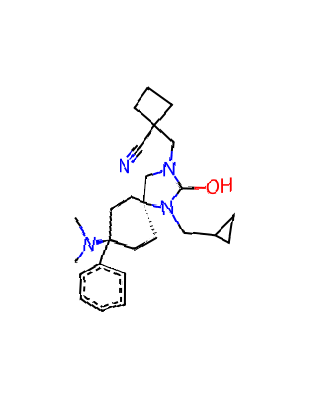 CN(C)[C@]1(c2ccccc2)CC[C@]2(CC1)CN(CC1(C#N)CCC1)C(O)N2CC1CC1